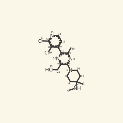 CNC1(C)CCN(c2nc(C)c(-c3ccnc(Cl)c3Cl)nc2CO)CC1